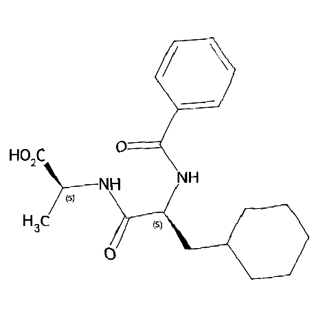 C[C@H](NC(=O)[C@H](CC1CCCCC1)NC(=O)c1ccccc1)C(=O)O